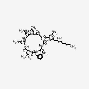 CCCCCCC[C@@H](O)CC(=O)N[C@H](CCN)C(=O)N[C@H]1CCNC(=O)[C@H](CC(C)C)NC(=O)[C@H](CCN)NC(=O)[C@H](CCN)NC(=O)[C@H](CC(C)C)NC(=O)[C@@H](Cc2ccccc2)NC(=O)[C@H](CN)NC1=O